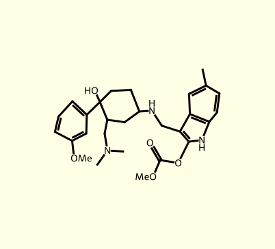 COC(=O)Oc1[nH]c2ccc(C)cc2c1CNC1CCC(O)(c2cccc(OC)c2)C(CN(C)C)C1